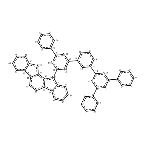 c1ccc(-c2cc(-c3ccccc3)nc(-c3cccc(-c4nc(-c5ccccc5)nc(-n5c6ccccc6c6ccc7c8ccccc8sc7c65)n4)c3)n2)cc1